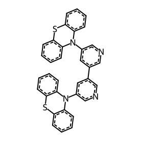 c1ccc2c(c1)Sc1ccccc1N2c1cncc(-c2cncc(N3c4ccccc4Sc4ccccc43)c2)c1